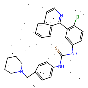 S=C(Nc1ccc(CN2CCCCC2)cc1)Nc1ccc(Cl)c(-c2nccc3ccccc23)c1